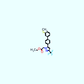 CCOC(=O)Cn1nc(C(F)(F)F)cc1-c1ccc(-c2cccc(SC)c2)cc1